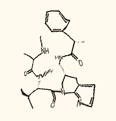 CNC(C)C(=O)N[C@H](C(=O)N1c2ncccc2C[C@H]1CNC(=O)[C@@H](C)c1ccccc1)C(C)C